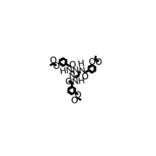 CC(=O)Oc1cccc(C(=O)Nc2cc(NC(=O)c3cccc(OC(C)=O)c3)nc(NC(=O)c3cccc(OC(C)=O)c3)n2)c1